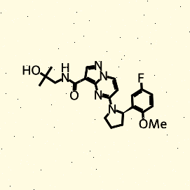 COc1ccc(F)cc1[C@H]1CCCN1c1ccn2ncc(C(=O)NCC(C)(C)O)c2n1